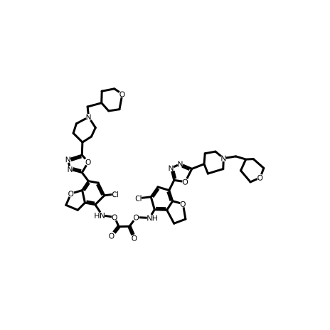 O=C(ONc1c(Cl)cc(-c2nnc(C3CCN(CC4CCOCC4)CC3)o2)c2c1CCO2)C(=O)ONc1c(Cl)cc(-c2nnc(C3CCN(CC4CCOCC4)CC3)o2)c2c1CCO2